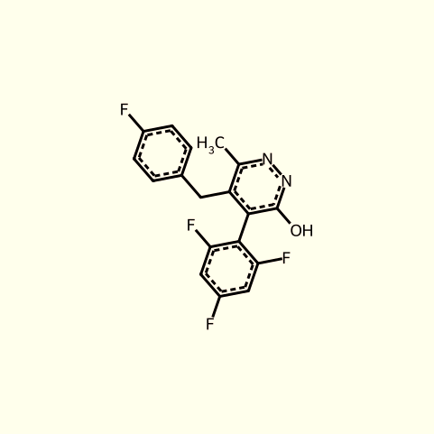 Cc1nnc(O)c(-c2c(F)cc(F)cc2F)c1Cc1ccc(F)cc1